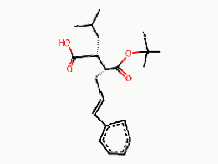 CC(C)C[C@@H](C(=O)O)[C@@H](CC=Cc1ccccc1)C(=O)OC(C)(C)C